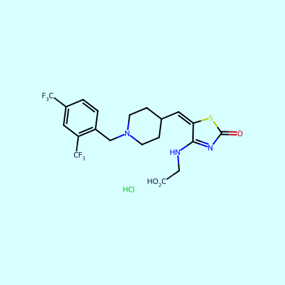 Cl.O=C(O)CNC1=NC(=O)SC1=CC1CCN(Cc2ccc(C(F)(F)F)cc2C(F)(F)F)CC1